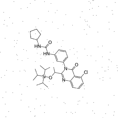 CC(O[Si](C(C)C)(C(C)C)C(C)C)c1nc2cccc(Cl)c2c(=O)n1-c1cccc(NC(=O)NC2CCCC2)c1